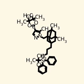 Cc1c(B2OC(C)(C)C(C)(C)O2)cnn1CC12CC3(C)CC(C)(CC(CCCO[Si](c4ccccc4)(c4ccccc4)C(C)(C)C)(C3)C1)C2